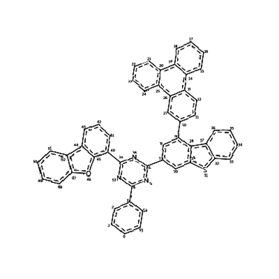 c1ccc(-c2nc(-c3cc(-c4ccc5c6ccccc6c6ccccc6c5c4)c4c(c3)sc3ccccc34)nc(-c3cccc4c3oc3ccccc34)n2)cc1